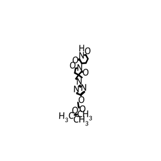 CC(C)(C)OC(=O)COc1cnc(N2CC3(CC(=O)N(C4CCC(=O)NC4=O)C3=O)C2)nc1